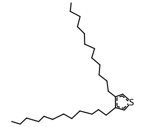 CCCCCCCCCCCCc1cscc1CCCCCCCCCCCC